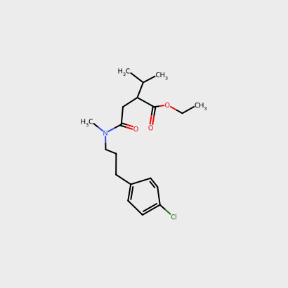 CCOC(=O)C(CC(=O)N(C)CCCc1ccc(Cl)cc1)C(C)C